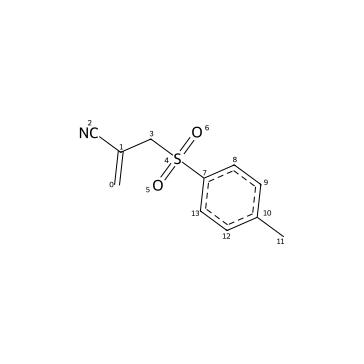 C=C(C#N)CS(=O)(=O)c1ccc(C)cc1